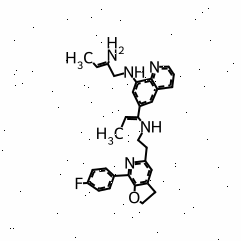 C/C=C(\N)CNc1cc(/C(=C/C)NCCc2cc3c(c(-c4ccc(F)cc4)n2)OCC3)cc2cccnc12